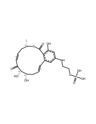 C[C@H]1C/C=C\C(=O)[C@@H](O)[C@@H](O)C/C=C/c2cc(NCCOP(=O)(O)O)cc(O)c2C(=O)O1